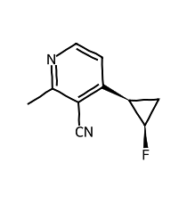 Cc1nccc([C@H]2C[C@H]2F)c1C#N